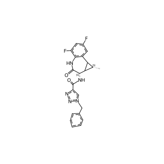 C[C@H]1C2c3cc(F)cc(F)c3NC(=O)[C@@H](NC(=O)c3cn(Cc4ccccc4)nn3)C21